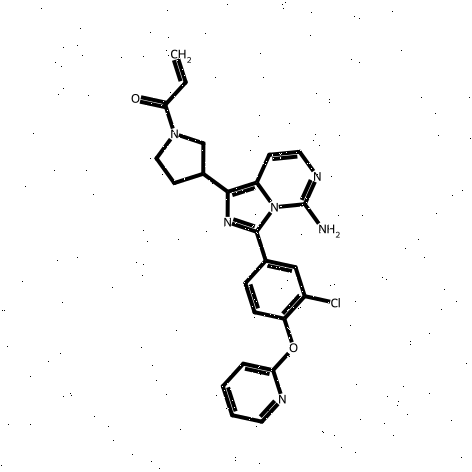 C=CC(=O)N1CCC(c2nc(-c3ccc(Oc4ccccn4)c(Cl)c3)n3c(N)nccc23)C1